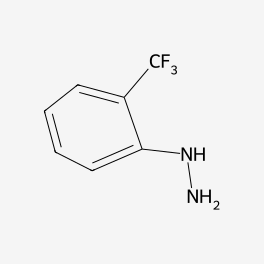 NNc1ccccc1C(F)(F)F